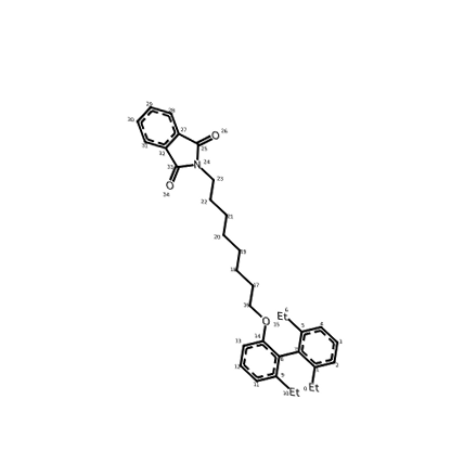 CCc1cccc(CC)c1-c1c(CC)cccc1OCCCCCCCCN1C(=O)c2ccccc2C1=O